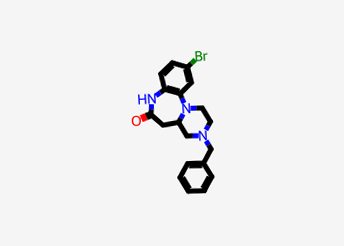 O=C1CC2CN(Cc3ccccc3)CCN2c2cc(Br)ccc2N1